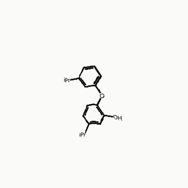 CC(C)c1cccc(Oc2ccc(C(C)C)cc2O)c1